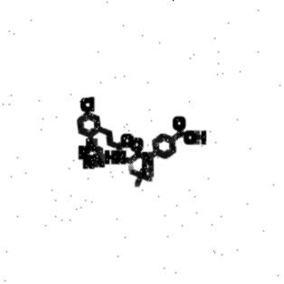 CC(C)(C)C[C@H](NC(=O)C=Cc1cc(Cl)ccc1-n1cnnn1)C(=O)Nc1ccc(C(=O)O)cc1